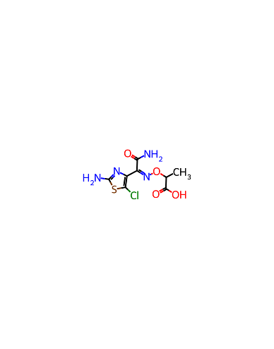 CC(O/N=C(\C(N)=O)c1nc(N)sc1Cl)C(=O)O